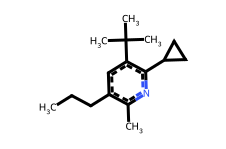 CCCc1cc(C(C)(C)C)c(C2CC2)nc1C